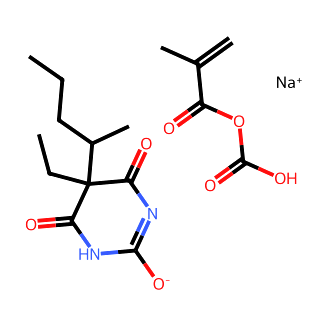 C=C(C)C(=O)OC(=O)O.CCCC(C)C1(CC)C(=O)N=C([O-])NC1=O.[Na+]